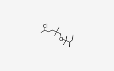 CCC(C)C(C)(C)OCC(C)(C)CCC(C)Cl